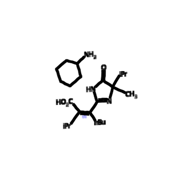 CCCC/C(C1=NC(C)(C(C)C)C(=O)N1)=C(/C(=O)O)C(C)C.NC1CCCCC1